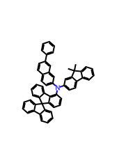 CC1(C)c2ccccc2-c2ccc(N(c3ccc4ccc(-c5ccccc5)cc4c3)c3cccc4c3-c3ccccc3C43c4ccccc4-c4ccccc43)cc21